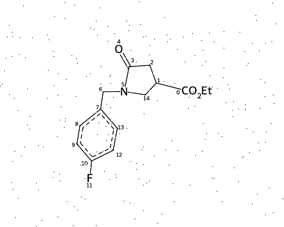 CCOC(=O)C1CC(=O)N(Cc2ccc(F)cc2)C1